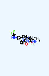 CSc1cc(C)[nH]c(=O)c1CNC(=O)c1c(C)n(C(C)C2CCC(NC3CC(F)(F)C3)CC2)c2ccccc12